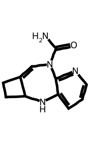 NC(=O)N1C=C2CCC2Nc2cccnc21